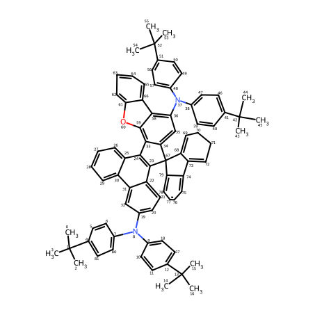 CC(C)(C)c1ccc(N(c2ccc(C(C)(C)C)cc2)c2ccc3c4c(c5ccccc5c3c2)-c2c(cc(N(c3ccc(C(C)(C)C)cc3)c3ccc(C(C)(C)C)cc3)c3c2oc2ccccc23)C42C3=CCCC=C3c3ccccc32)cc1